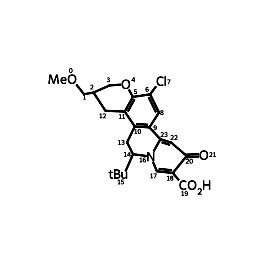 COCC1COc2c(Cl)cc3c(c2C1)CC(C(C)(C)C)n1cc(C(=O)O)c(=O)cc1-3